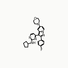 Fc1ccc(-c2nn3ccc(N4CCOCC4)cc3c2-c2ccnc(NC3CCCC3)n2)cc1